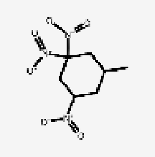 CC1CC([N+](=O)[O-])CC([N+](=O)[O-])([N+](=O)[O-])C1